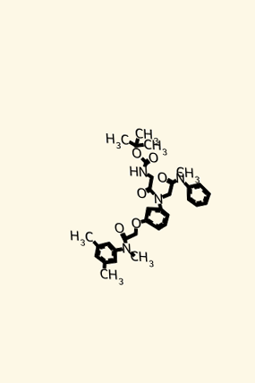 Cc1cc(C)cc(N(C)C(=O)COc2cccc(N(CC(=O)N(C)c3ccccc3)C(=O)CNC(=O)OC(C)(C)C)c2)c1